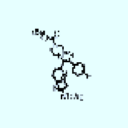 CC(=O)Nc1cn2nc(-c3c(-c4ccc(F)cc4)nc4n3CCN(C(=O)OC(C)(C)C)C4)ccc2n1